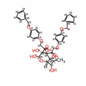 CC1C(O)[C@H]2O[C@@H](O)[C@@](O)(C(=O)COc3ccc(OCc4ccccc4)cc3)[C@](O)(C(=O)COc3ccc(OCc4ccccc4)cc3)[C@@]12O